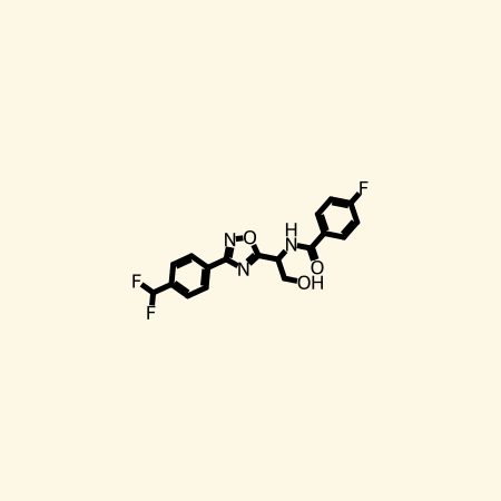 O=C(NC(CO)c1nc(-c2ccc(C(F)F)cc2)no1)c1ccc(F)cc1